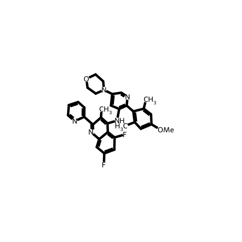 COc1cc(C)c(-c2ncc(N3CCOCC3)cc2Nc2c(C)c(-c3ccccn3)nc3cc(F)cc(F)c23)c(C)c1